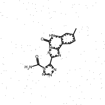 Cc1ccc2c(c1)[nH]c(=O)n1nc(-c3nnnn3C(N)=O)nc21